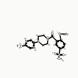 CC(C)Oc1ccc(S(C)(=O)=O)cc1C(=O)N1CCN(c2cnc(C(F)(F)F)cn2)CC1